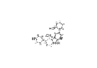 C[C@@H]1c2c([nH]c3nnc(-c4ccccc4O)cc23)CCC1C1CCNCC1